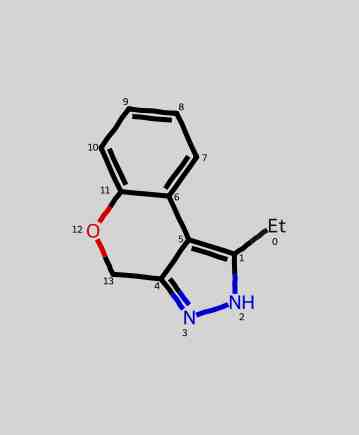 CCc1[nH]nc2c1-c1ccccc1OC2